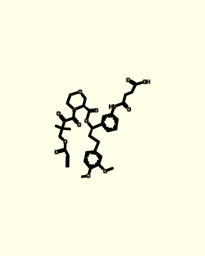 C=CC(=O)OCC(C)(C)C(=O)C(=O)N1CCOC[C@H]1C(=O)O[C@H](CCc1ccc(OC)c(OC)c1)c1cccc(NC(=O)CCC(=O)O)c1